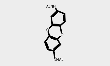 CC(=O)Nc1ccc2c(c1)Oc1ccc(NC(C)=O)cc1O2